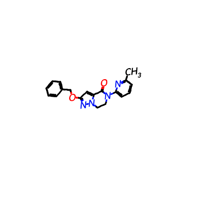 Cc1cccc(N2CCn3nc(OCc4ccccc4)cc3C2=O)n1